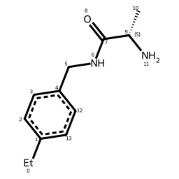 CCc1ccc(CNC(=O)[C@H](C)N)cc1